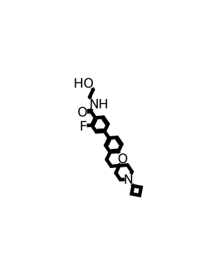 O=C(NCCO)c1ccc(-c2ccc3c(c2)CCC2(CCN(C4CCC4)CC2)O3)cc1F